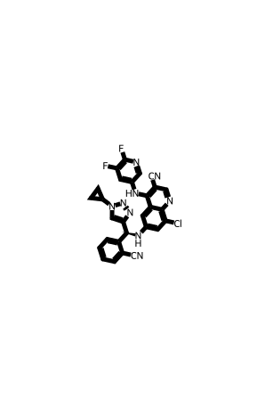 N#Cc1ccccc1[C@H](Nc1cc(Cl)c2ncc(C#N)c(Nc3cnc(F)c(F)c3)c2c1)c1cn(C2CC2)nn1